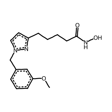 COc1cccc(Cn2ccc(CCCCC(=O)NO)n2)c1